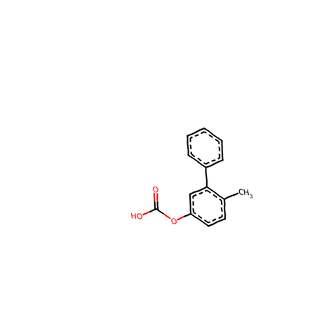 Cc1ccc(OC(=O)O)cc1-c1ccccc1